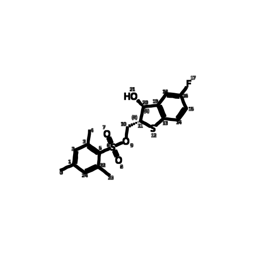 Cc1cc(C)c(S(=O)(=O)OC[C@H]2Sc3ccc(F)cc3[C@@H]2O)c(C)c1